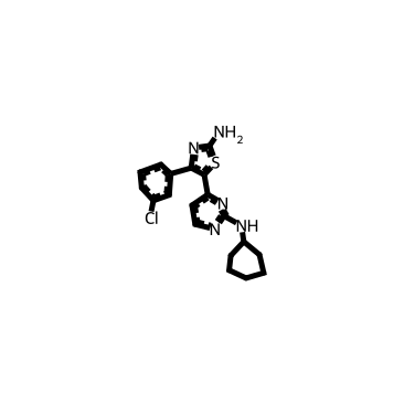 Nc1nc(-c2cccc(Cl)c2)c(-c2ccnc(NC3CCCCC3)n2)s1